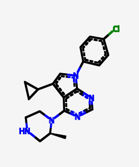 C[C@H]1CNCCN1c1ncnc2c1c(C1CC1)cn2-c1ccc(Cl)cc1